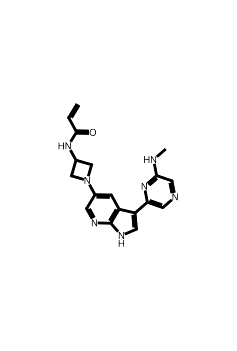 C=CC(=O)NC1CN(c2cnc3[nH]cc(-c4cncc(NC)n4)c3c2)C1